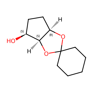 O[C@H]1CC[C@H]2OC3(CCCCC3)O[C@@H]12